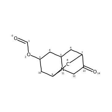 O=COC1CC2CC3CC(C1)N2CC3=O